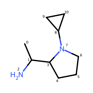 CC(N)C1CCCN1C1CC1